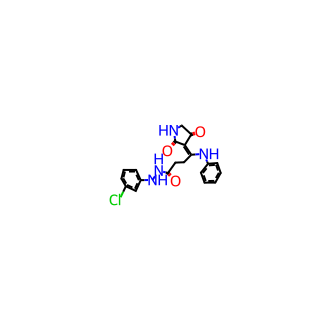 O=C(CCC(Nc1ccccc1)=C1C(=O)CNC1=O)NNc1cccc(Cl)c1